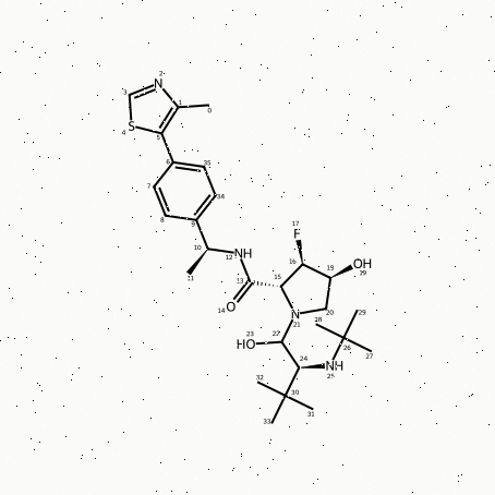 Cc1ncsc1-c1ccc([C@H](C)NC(=O)[C@@H]2[C@@H](F)[C@@H](O)CN2C(O)[C@@H](NC(C)(C)C)C(C)(C)C)cc1